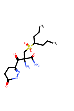 CCCC(CCC)S(=O)(=O)CC(N)(C(N)=O)C(=O)C1=NNC(=O)CC1